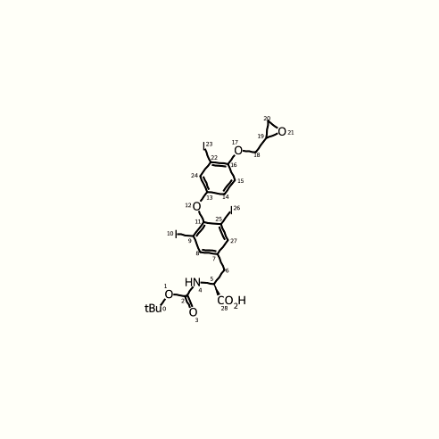 CC(C)(C)OC(=O)N[C@@H](Cc1cc(I)c(Oc2ccc(OCC3CO3)c(I)c2)c(I)c1)C(=O)O